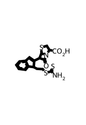 NC(=S)SCCC1C(C2C(=O)N3C(C(=O)O)CSC23)=Cc2ccccc21